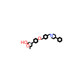 CC=C[C@H](CC(=O)O)c1ccc(OCc2ccc(CN3CC=C(c4ccccc4)CC3)cc2)cc1